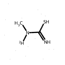 [2H]N(C)C(=N)S